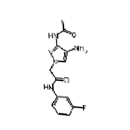 CC(=O)Nc1nn(CC(=O)Nc2cccc(F)c2)cc1N